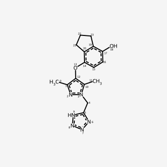 Cc1nn(Cc2nnn[nH]2)c(C)c1Oc1ccc(O)c2c1CCC2